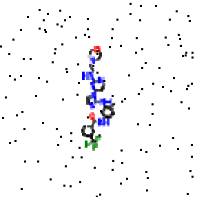 Cc1ccc(NC(=O)c2cccc(C(F)(F)F)c2)cc1Nc1nccn1-c1ccnc(NCCN2CCOCC2)n1